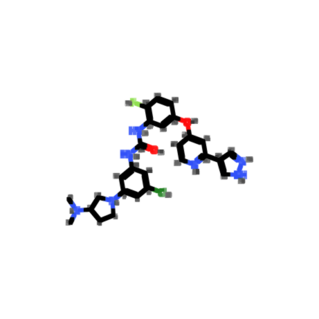 CN(C)C1CCN(c2cc(Cl)cc(NC(=O)Nc3cc(Oc4ccnc(-c5cn[nH]c5)c4)ccc3F)c2)C1